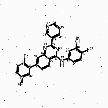 Fc1ccc(F)c(-c2ccc3c(Nc4ccc(F)c(Cl)c4)nc(-c4cccnc4)nc3c2)c1